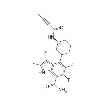 CC#CC(=O)N[C@H]1CCCC(c2c(F)c(F)c(C(N)=O)c3[nH]c(C)c(F)c23)C1